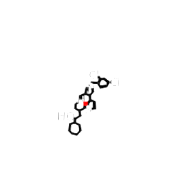 O[C@@H](CC1CCN(CC2CN(Cc3ccc(Cl)cc3Cl)CC2c2ccsc2)CC1)C1CCCCCC1